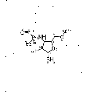 BC1OC(COC(C)C)C(NP(S)P=O)C1F